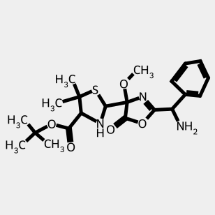 COC1(C2NC(C(=O)OC(C)(C)C)C(C)(C)S2)N=C(C(N)c2ccccc2)OC1=O